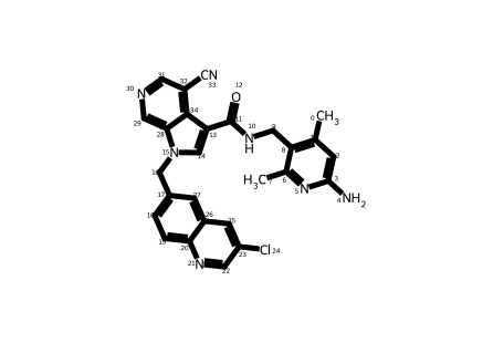 Cc1cc(N)nc(C)c1CNC(=O)c1cn(Cc2ccc3ncc(Cl)cc3c2)c2cncc(C#N)c12